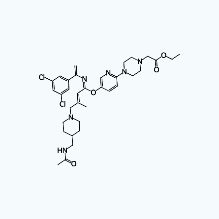 C=C(/N=C(\C=C(/C)CN1CCC(CNC(C)=O)CC1)Oc1ccc(N2CCN(CC(=O)OCC)CC2)nc1)c1cc(Cl)cc(Cl)c1